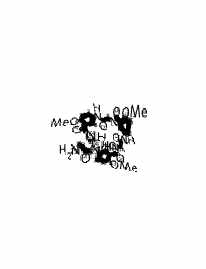 COc1ccc(NC(=O)CNC(=O)c2cc(NC(=O)CNC(=O)c3cc(NC(=O)CN)ccc3OC)ccc2OC)cc1C(=O)NCC=O